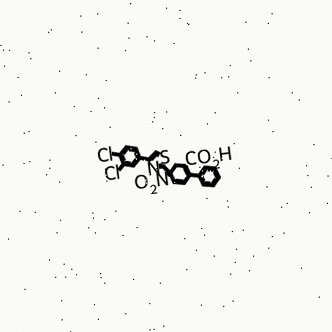 O=C(O)C1=C(c2ccccc2)C=CC(c2nc(-c3ccc(Cl)c(Cl)c3)cs2)([N+](=O)[O-])C1